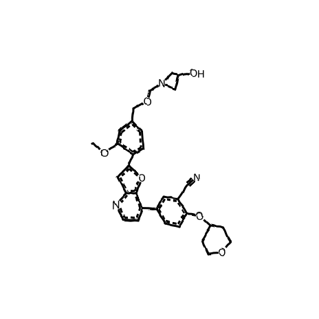 COc1cc(COCN2CC(O)C2)ccc1-c1cc2nccc(-c3ccc(OC4CCOCC4)c(C#N)c3)c2o1